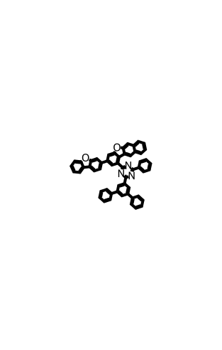 c1ccc(-c2cc(-c3ccccc3)cc(-c3nc(-c4ccccc4)nc(-c4cc(-c5ccc6c(c5)oc5ccccc56)cc5oc6cc7ccccc7cc6c45)n3)c2)cc1